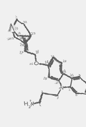 NCCCn1c2ccccc2c2ccc(OC/C=C3/CN4CCC3CC4)cc21